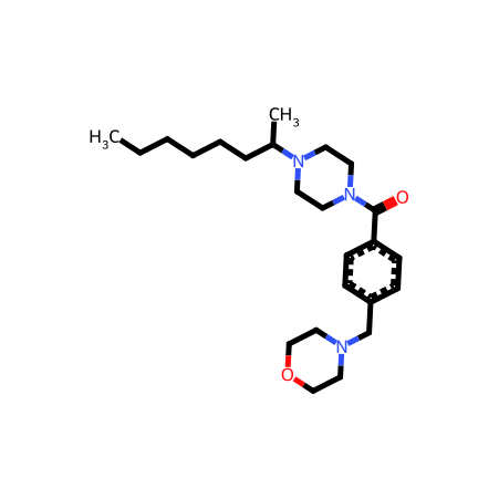 CCCCCCC(C)N1CCN(C(=O)c2ccc(CN3CCOCC3)cc2)CC1